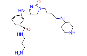 NCCCNC(=O)c1cccc(Nc2ccn(CCCCNC3CCNCC3)c(=O)n2)c1